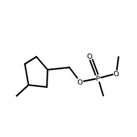 COP(C)(=O)OCC1CCC(C)C1